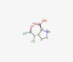 O=C(Cl)CCl.O=C(O)[C@@H]1CCCN1